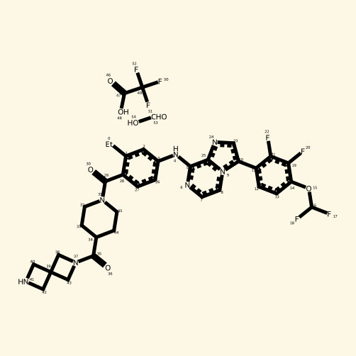 CCc1cc(Nc2nccn3c(-c4ccc(OC(F)F)c(F)c4F)cnc23)ccc1C(=O)N1CCC(C(=O)N2CC3(CNC3)C2)CC1.O=C(O)C(F)(F)F.O=CO